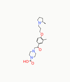 Cc1cc(C(=O)CN2CCN(C(=O)O)CC2)ccc1OCCCN1CCC[C@H]1C